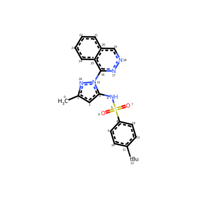 Cc1cc(NS(=O)(=O)c2ccc(C(C)(C)C)cc2)n(-c2nncc3ccccc23)n1